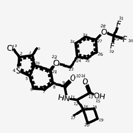 Cc1c(Cl)sc2ccc(C(=O)NC(C(=O)O)C3(C)CCC3)c(OCc3ccc(OC(F)(F)F)cc3)c12